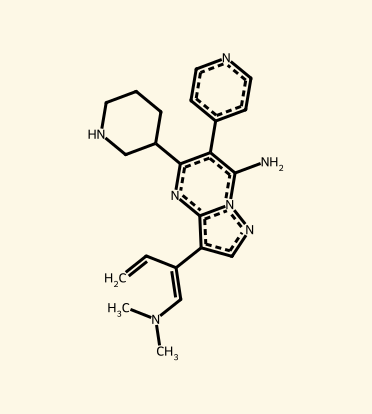 C=C/C(=C\N(C)C)c1cnn2c(N)c(-c3ccncc3)c(C3CCCNC3)nc12